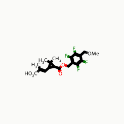 COCc1c(F)c(F)c(COC(=O)C2C(C=C(C)C(=O)O)C2(C)C)c(F)c1F